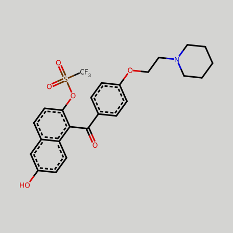 O=C(c1ccc(OCCN2CCCCC2)cc1)c1c(OS(=O)(=O)C(F)(F)F)ccc2cc(O)ccc12